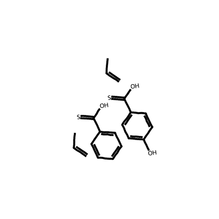 C=CC.C=CC.OC(=S)c1ccc(O)cc1.OC(=S)c1ccccc1